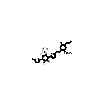 C/C=C/c1cc(OCCCCCCCC)c(/C=C/c2ccc(-c3c(F)c(F)c(-c4ccc(C)s4)c4nn(CCCCCCCC)nc34)s2)cc1C